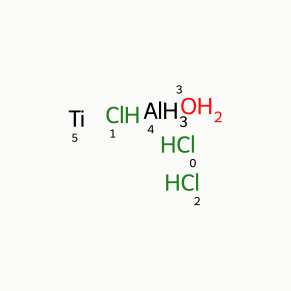 Cl.Cl.Cl.O.[AlH3].[Ti]